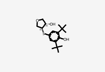 CC(C)(C)c1cc(S[C@H]2COC[C@@H]2O)cc(C(C)(C)C)c1O